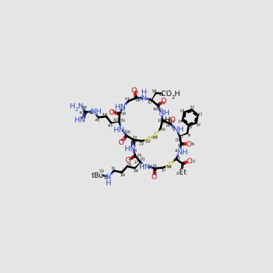 CCC(=O)C1NC(=O)[C@H](Cc2ccccc2)NC(=O)[C@@H]2CSSC[C@H](NC(=O)[C@H](CCCCNC(C)(C)C)NC(=O)CS1)C(=O)N[C@@H](CCCNC(=N)N)C(=O)NCC(=O)N[C@@H](CC(=O)O)C(=O)N2